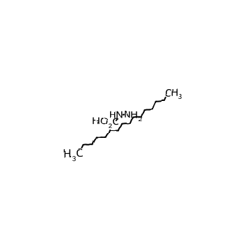 CCCCCCCCCCCCCCCC.NNC(=O)O